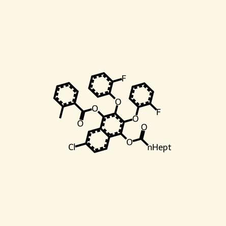 CCCCCCCC(=O)Oc1c(Oc2ccccc2F)c(Oc2ccccc2F)c(OC(=O)c2ccccc2C)c2cc(Cl)ccc12